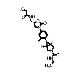 CCNC(=O)N1C[C@@H]2[C@H](C1)[C@H]2c1ccc(N2C[C@H](CNC(=O)CC)OC2=O)cc1F